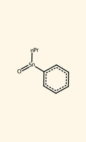 CC[CH2][Sn](=[O])[c]1ccccc1